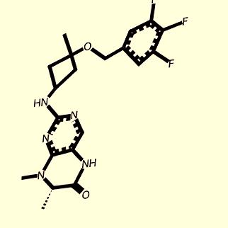 C[C@H]1C(=O)Nc2cnc(NC3CC(C)(OCc4cc(F)c(F)c(F)c4)C3)nc2N1C